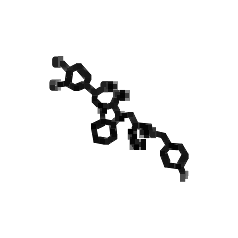 N=N/C(=C\NCc1ccc(F)cc1)Cn1c(=N)n(CC(O)c2ccc(Cl)c(Cl)c2)c2ccccc21